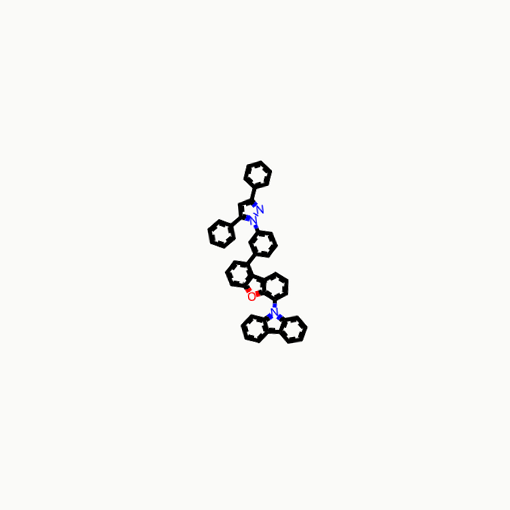 c1ccc(-c2cc(-c3ccccc3)n(-c3cccc(-c4cccc5oc6c(-n7c8ccccc8c8ccccc87)cccc6c45)c3)n2)cc1